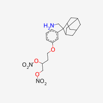 NCC1(c2cccc(OCCC(CO[N+](=O)[O-])O[N+](=O)[O-])c2)C2CC3CC(C2)CC1C3